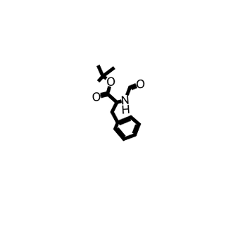 CC(C)(C)OC(=O)C(Cc1ccccc1)NC=O